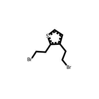 BrCCc1ccsc1CCBr